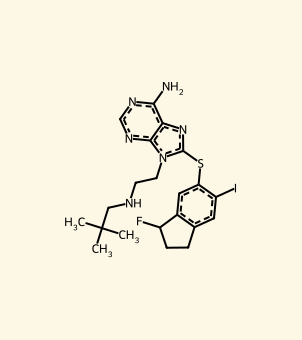 CC(C)(C)CNCCn1c(Sc2cc3c(cc2I)CCC3F)nc2c(N)ncnc21